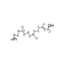 CC(=CC(C)O)CCCC(C)CCCC(C)CCCC(C)C